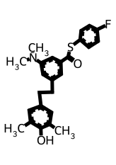 Cc1cc(CCc2cc(C(=O)Sc3ccc(F)cc3)cc(N(C)C)c2)cc(C)c1O